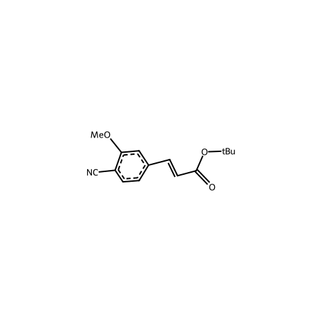 COc1cc(C=CC(=O)OC(C)(C)C)ccc1C#N